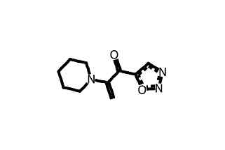 C=C(C(=O)c1cnno1)N1CCCCC1